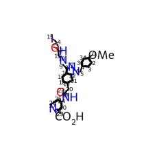 COc1ccc(Cn2nc(CNCCOCI)c3ccc(CC(=O)Nc4ccnc(C(=O)O)c4)cc32)cc1